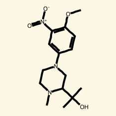 COc1ccc(N2CCN(C)C(C(C)(C)O)C2)cc1[N+](=O)[O-]